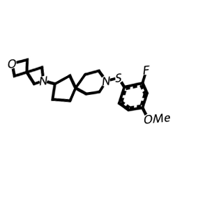 COc1ccc(SN2CCC3(CCC(N4CC5(COC5)C4)C3)CC2)c(F)c1